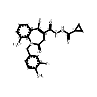 Cc1ccc(CN2C(=O)CC(C(=O)NNC(=O)C3CC3)=C(Br)c3cccc(C)c32)cc1F